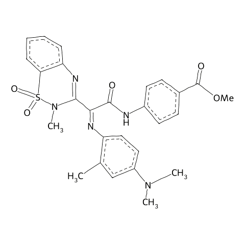 COC(=O)c1ccc(NC(=O)/C(=N\c2ccc(N(C)C)cc2C)C2=Nc3ccccc3S(=O)(=O)N2C)cc1